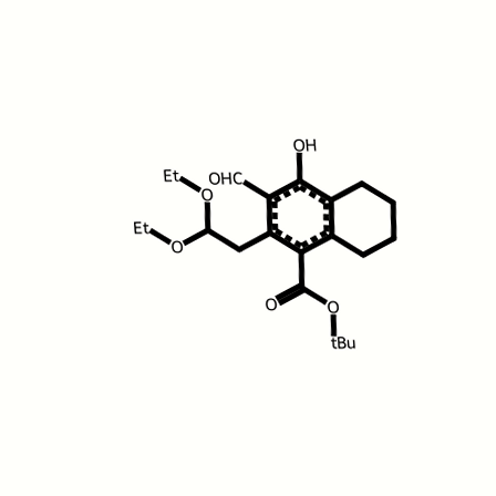 CCOC(Cc1c(C=O)c(O)c2c(c1C(=O)OC(C)(C)C)CCCC2)OCC